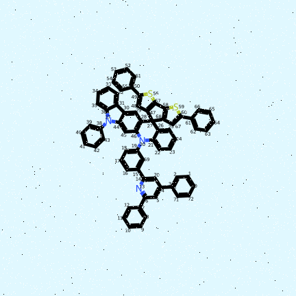 c1ccc(-c2cc(-c3ccccc3)nc(-c3cccc(N4c5ccccc5C5(c6cc7c8ccccc8n(-c8ccccc8)c7cc64)c4cc(-c6ccccc6)sc4-c4sc(-c6ccccc6)cc45)c3)c2)cc1